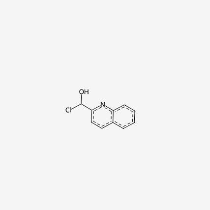 OC(Cl)c1ccc2ccccc2n1